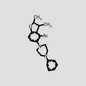 CC(=O)c1c(N2CCN(c3ccccc3)CC2)ccc2c1C(C)C(C)O2